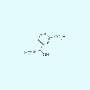 C#CC(O)c1cccc(C(=O)O)c1